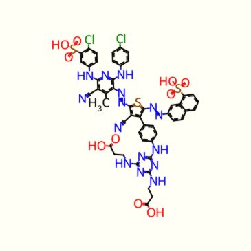 Cc1c(C#N)c(Nc2ccc(Cl)c(S(=O)(=O)O)c2)nc(Nc2ccc(Cl)cc2)c1N=Nc1sc(N=Nc2ccc3cccc(S(=O)(=O)O)c3c2)c(-c2ccc(Nc3nc(NCCC(=O)O)nc(NCCC(=O)O)n3)cc2)c1C#N